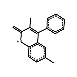 C=C1Nc2ccc(C)cc2C(c2ccccc2)=C1C